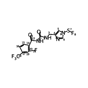 O=C(NCc1cn(SF)cn1)NC(=O)c1ccc(C(F)(F)F)cc1F